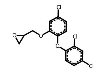 Clc1ccc(Oc2ccc(Cl)cc2OCC2CO2)c(Cl)c1